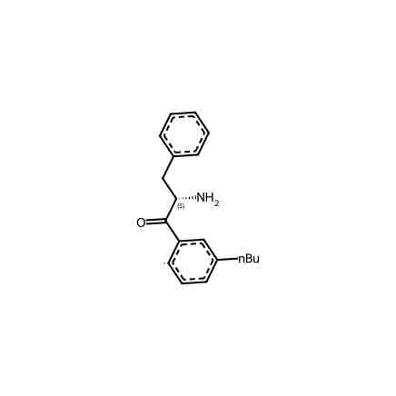 CCCCc1cc[c]c(C(=O)[C@@H](N)Cc2ccccc2)c1